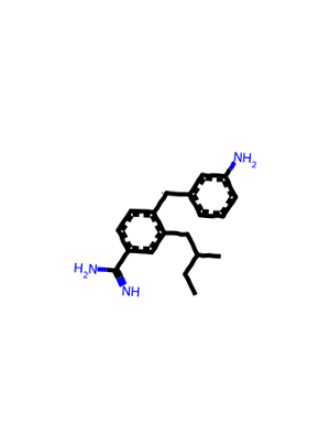 CCC(C)Cc1cc(C(=N)N)ccc1[CH]c1cccc(N)c1